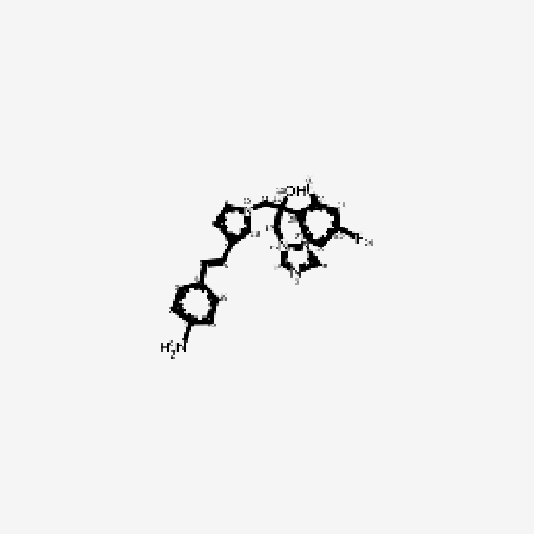 Nc1ccc(C=Cc2ccn(CC(O)(Cn3cncn3)c3ccc(F)cc3F)c2)cc1